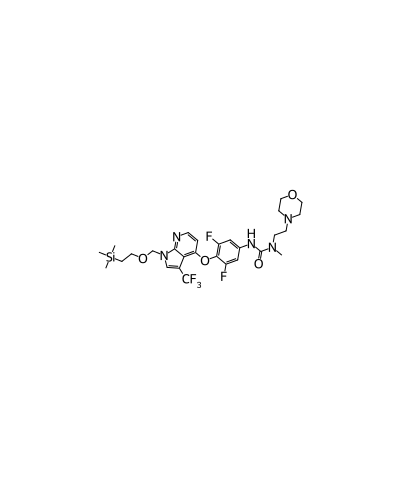 CN(CCN1CCOCC1)C(=O)Nc1cc(F)c(Oc2ccnc3c2c(C(F)(F)F)cn3COCC[Si](C)(C)C)c(F)c1